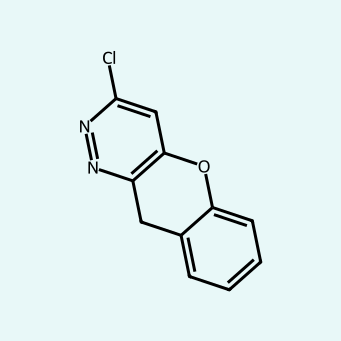 Clc1cc2c(nn1)Cc1ccccc1O2